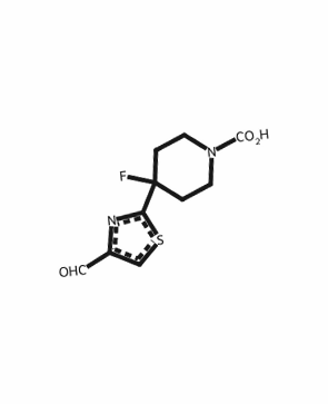 O=Cc1csc(C2(F)CCN(C(=O)O)CC2)n1